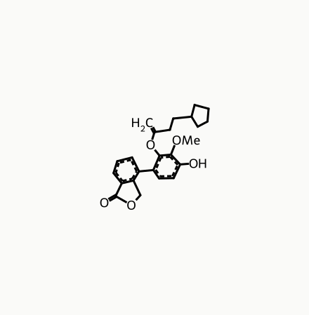 C=C(CCC1CCCC1)Oc1c(-c2cccc3c2COC3=O)ccc(O)c1OC